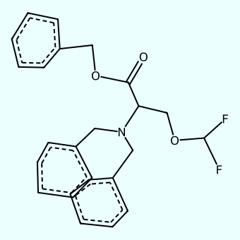 O=C(OCc1ccccc1)C(COC(F)F)N(Cc1ccccc1)Cc1ccccc1